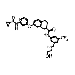 O=C(Nc1cc(CNCCO)cc(C(F)(F)F)c1)C1CCc2ccc(Oc3ccnc(NC(=O)C4CC4)c3)cc2C1